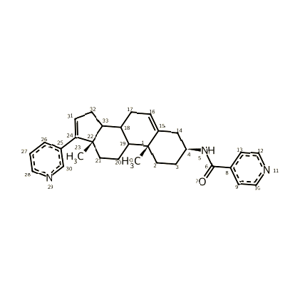 C[C@]12CC[C@H](NC(=O)c3ccncc3)CC1=CCC1C2CC[C@]2(C)C(c3cccnc3)=CCC12